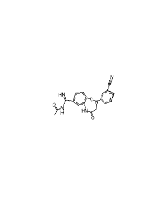 CC(=O)NC(=N)c1ccc2c(c1)NC(=O)CN(c1cccc(C#N)c1)C2